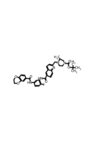 CC1CN(C(=O)OC(C)(C)C)CCN1Cc1ccc2cc(C(=O)Nc3cc(NC(=O)c4ccc5c(c4)OCCO5)ccc3F)ccc2n1